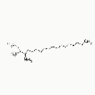 CCCCCCCCCCCCCCCC(N)C(C)CC